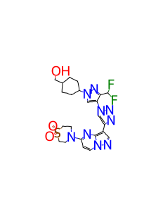 O=S1(=O)CCN(c2ccn3ncc(-c4cn(-c5cn(C6CCC(CO)CC6)nc5C(F)F)nn4)c3n2)CC1